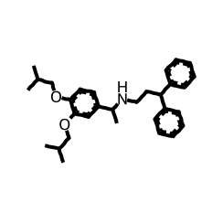 CC(C)COc1ccc(C(C)NCCC(c2ccccc2)c2ccccc2)cc1OCC(C)C